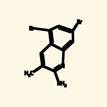 Cc1cc2c(Br)cc(Br)cc2nc1N